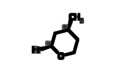 CC[C@H]1C[C@@H](C)CCO1